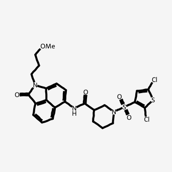 COCCCN1C(=O)c2cccc3c(NC(=O)C4CCCN(S(=O)(=O)c5cc(Cl)sc5Cl)C4)ccc1c23